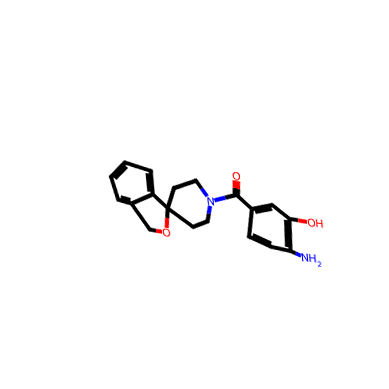 Nc1ccc(C(=O)N2CCC3(CC2)OCc2ccccc23)cc1O